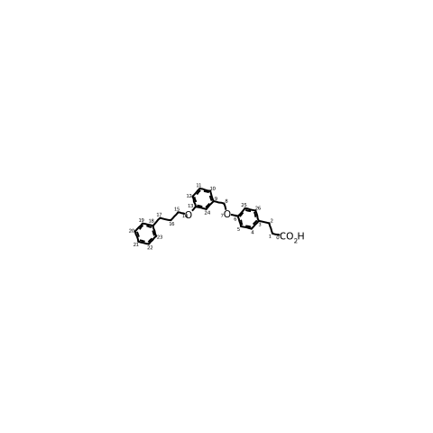 O=C(O)CCc1ccc(OCc2cccc(OCCCc3ccccc3)c2)cc1